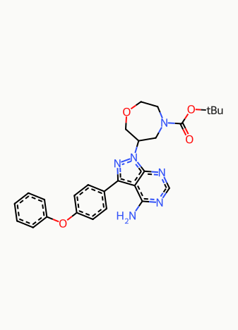 CC(C)(C)OC(=O)N1CCOCC(n2nc(-c3ccc(Oc4ccccc4)cc3)c3c(N)ncnc32)C1